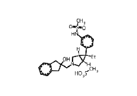 CCC1(c2cccc(NS(C)(=O)=O)c2)[C@@H]2CN(CC3(O)Cc4ccccc4C3)C[C@@H]21.CS(=O)(=O)O